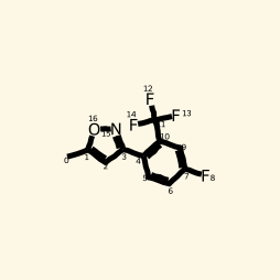 Cc1cc(-c2ccc(F)cc2C(F)(F)F)no1